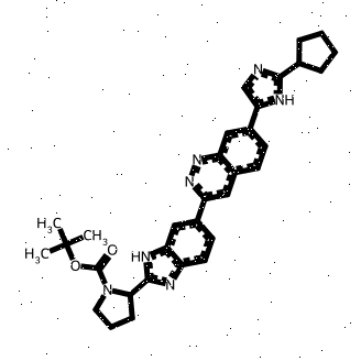 CC(C)(C)OC(=O)N1CCCC1c1nc2ccc(-c3cc4ccc(-c5cnc(C6CCCC6)[nH]5)cc4nn3)cc2[nH]1